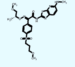 CNc1ccc2nc(NC(=O)/C(=N/O[C@H](C)COC)c3ccc(S(=O)(=O)CCCOC)cc3)sc2n1